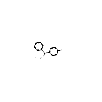 Cc1ccc(C(OC#N)c2ccccc2)cc1